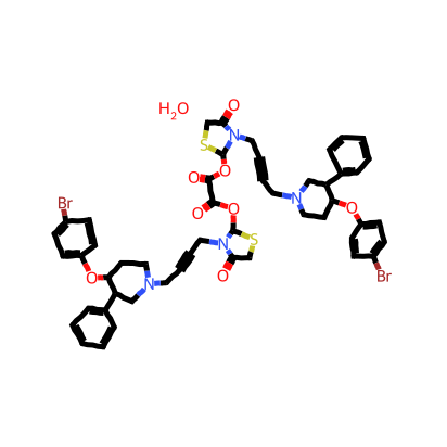 O.O=C(OC1SCC(=O)N1CC#CCN1CCC(Oc2ccc(Br)cc2)C(c2ccccc2)C1)C(=O)OC1SCC(=O)N1CC#CCN1CCC(Oc2ccc(Br)cc2)C(c2ccccc2)C1